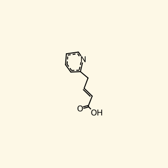 O=C(O)C=CCc1ccccn1